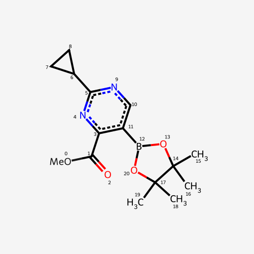 COC(=O)c1nc(C2CC2)ncc1B1OC(C)(C)C(C)(C)O1